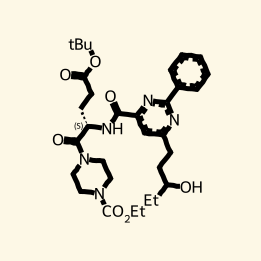 CCOC(=O)N1CCN(C(=O)[C@H](CCC(=O)OC(C)(C)C)NC(=O)c2cc(CCC(O)CC)nc(-c3ccccc3)n2)CC1